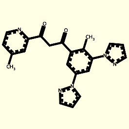 Cc1ccnc(C(=O)CC(=O)c2cc(-n3cccn3)cc(-n3cccn3)c2C)c1